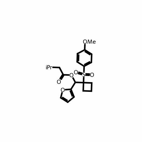 COc1ccc(S(=O)(=O)C2(C(OC(=O)CC(C)C)c3ccco3)CCC2)cc1